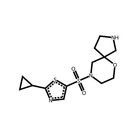 O=S(=O)(c1cnc(C2CC2)s1)N1CCOC2(CCNC2)C1